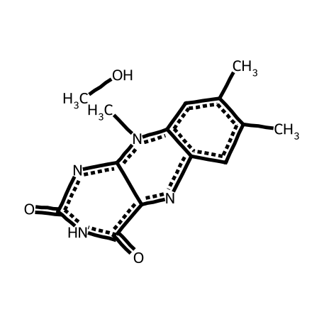 CO.Cc1cc2nc3c(=O)[nH]c(=O)nc-3n(C)c2cc1C